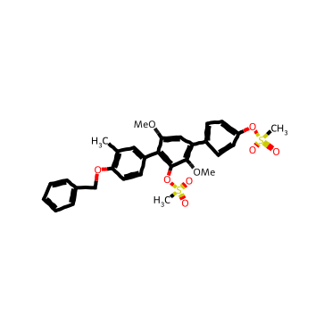 COc1cc(-c2ccc(OS(C)(=O)=O)cc2)c(OC)c(OS(C)(=O)=O)c1-c1ccc(OCc2ccccc2)c(C)c1